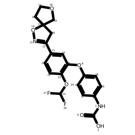 O=C(O)Nc1ccc(Oc2cc(C3=NOC4(CCOC4)C3)ccc2OC(F)F)cc1